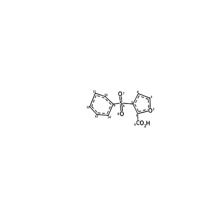 O=C(O)c1occc1S(=O)(=O)c1ccccc1